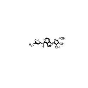 CC(C)=CCNc1ncnc2c1ncn2C1O[C@H](CO)[C@@H](O)[C@H]1O